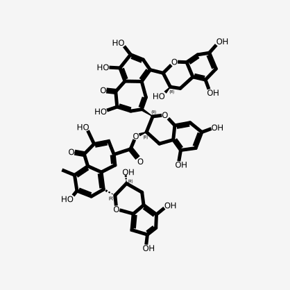 Cc1c(O)cc([C@H]2Oc3cc(O)cc(O)c3C[C@H]2O)c2cc(C(=O)O[C@@H]3Cc4c(O)cc(O)cc4O[C@@H]3c3cc(O)c(=O)c4c(O)c(O)cc(C5Oc6cc(O)cc(O)c6C[C@H]5O)c4c3)cc(O)c(=O)c12